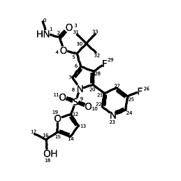 CNC(=O)OC(c1cn(S(=O)(=O)c2ccc(C(C)O)o2)c(-c2cncc(F)c2)c1F)C(C)(C)C